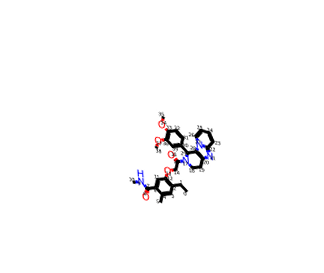 CCc1cc(C)c(C(=O)NC)cc1OCC(=O)N1CCc2nc3ccccn3c2C1c1ccc(OC)c(OC)c1